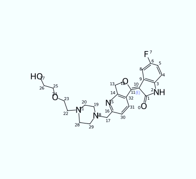 O=C1Nc2ccc(F)cc2/C1=C1\OCc2nc(CN3CCN(CCOCCO)CC3)ccc21